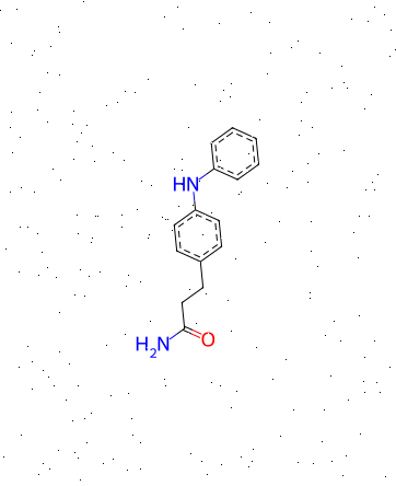 NC(=O)CCc1ccc(Nc2ccccc2)cc1